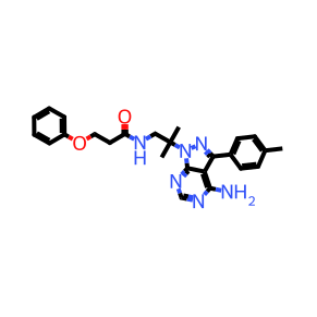 Cc1ccc(-c2nn(C(C)(C)CNC(=O)CCOc3ccccc3)c3ncnc(N)c23)cc1